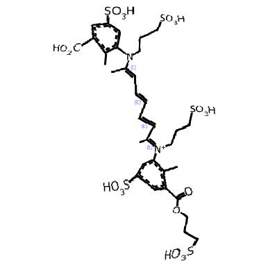 C\C(=C/C=C/C=C/C(C)=[N+](\CCCS(=O)(=O)O)c1cc(S(=O)(=O)O)cc(C(=O)OCCCS(=O)(=O)O)c1C)N(CCCS(=O)(=O)O)c1cc(S(=O)(=O)O)cc(C(=O)O)c1C